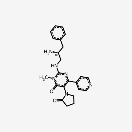 Cn1c(NC[C@@H](N)Cc2ccccc2)nc(-c2ccncc2)c(N2CCCC2=O)c1=O